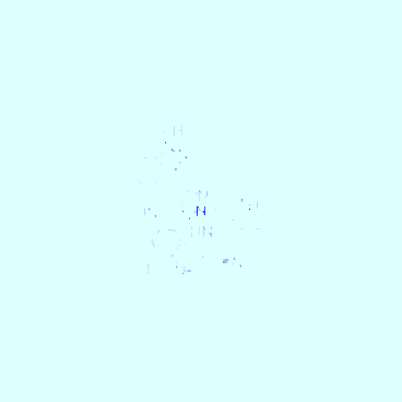 Cn1ncc2c(C(Nc3cc(Cl)c4ncc(C#N)c(NCC(C)(C)C)c4c3)c3cn(C4(C)CC4)nn3)cccc21